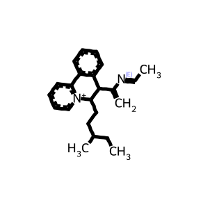 C=C(/N=C/C)C1c2ccccc2-c2cccc[n+]2C1CCC(C)CC